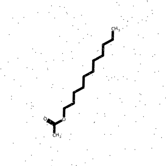 [CH2]C(=O)OCCCCCCCCCCC